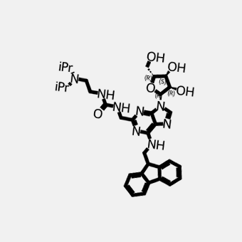 CC(C)N(CCNC(=O)NCc1nc(NCC2c3ccccc3-c3ccccc32)c2ncn([C@@H]3O[C@H](CO)[C@@H](O)[C@H]3O)c2n1)C(C)C